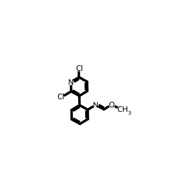 COC=Nc1ccccc1-c1ccc(Cl)nc1Cl